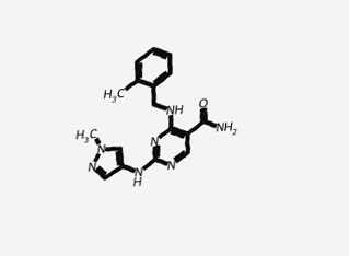 Cc1ccccc1CNc1nc(Nc2cnn(C)c2)ncc1C(N)=O